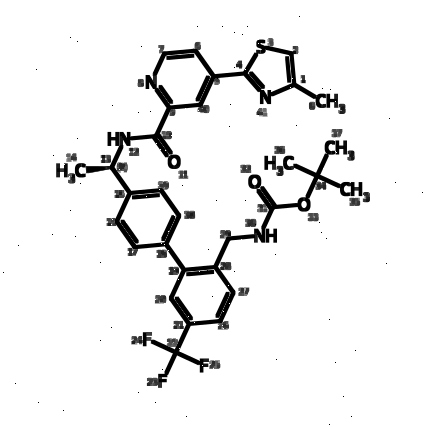 Cc1csc(-c2ccnc(C(=O)N[C@H](C)c3ccc(-c4cc(C(F)(F)F)ccc4CNC(=O)OC(C)(C)C)cc3)c2)n1